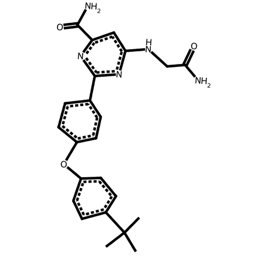 CC(C)(C)c1ccc(Oc2ccc(-c3nc(NCC(N)=O)cc(C(N)=O)n3)cc2)cc1